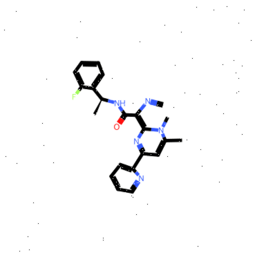 C=N/C(C(=O)N[C@@H](C)c1ccccc1F)=C1/N=C(c2ccccn2)C=C(C)N1C